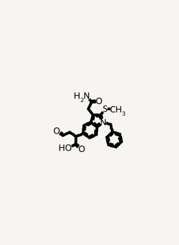 CSc1c(CC(N)=O)c2cc(C(CC=O)C(=O)O)ccc2n1Cc1ccccc1